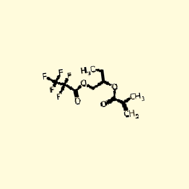 C=C(C)C(=O)OC(CC)COC(=O)C(F)(F)C(F)(F)F